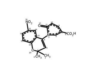 CC1(C)C=C(n2cc(C(=O)O)ccc2=O)c2cc([N+](=O)[O-])ccc2O1